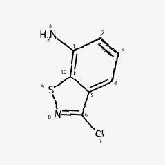 Nc1cccc2c(Cl)nsc12